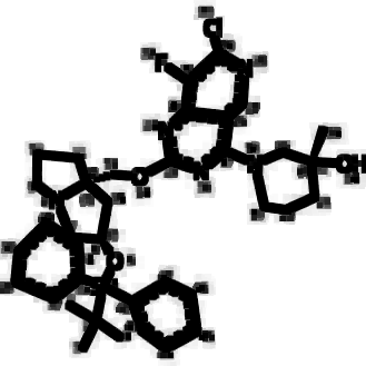 CC(C)(C)[Si](O[C@H]1CN2CCC[C@@]2(COc2nc(N3CCC[C@@](C)(O)C3)c3cnc(Cl)c(F)c3n2)C1)(c1ccccc1)c1ccccc1